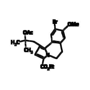 CCOC(=O)c1cc(CC(C)(C)OC(C)=O)c2n1CCc1cc(OC)c(Br)cc1-2